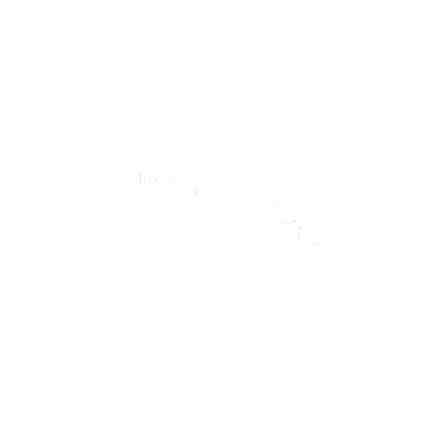 CCCCCCc1ccc(C2CCC(CCc3cc(F)c(F)nc3F)CC2)cc1